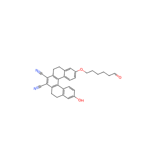 N#Cc1c(C#N)c2c(c3c1CCc1cc(O)ccc1-3)-c1ccc(OCCCCCC=O)cc1CC2